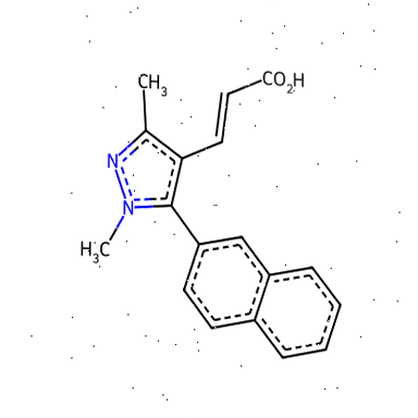 Cc1nn(C)c(-c2ccc3ccccc3c2)c1C=CC(=O)O